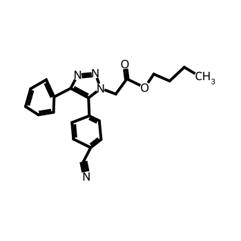 CCCCOC(=O)Cn1nnc(-c2ccccc2)c1-c1ccc(C#N)cc1